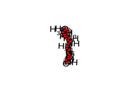 CCc1c(F)c2cnc(Nc3ccc(NCCNC4CCN(C5CN(c6cc7c(cc6F)C(=O)N(C6CCC(=O)NC6=O)C7)C5)CC4)cc3)nc2n1-c1ccc2c(n1)[C@@](O)(CC)CC2